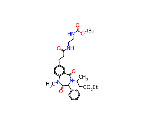 CCOC(=O)CC(C)N1C(=O)c2cc(CCC(=O)NCCNC(=O)OC(C)(C)C)ccc2N(C)C(=O)C1c1ccccc1